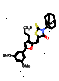 COc1cc(OC)cc(-c2cc(CCC(=O)O)c(C=C3SC(=S)N(C4C5CC6CC(C5)CC4C6)C3=O)o2)c1